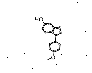 COc1ccc(-c2csc3cc(O)ccc23)cc1